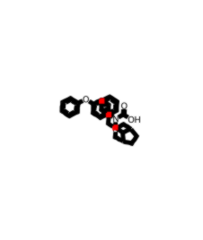 O=C(O)N(CC1C2CCC1CN(Cc1ccccc1)C2)c1ccc(Oc2ccccc2)cc1